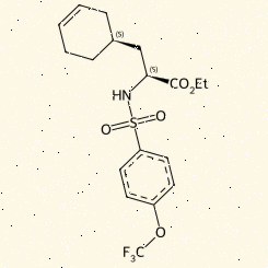 CCOC(=O)[C@H](C[C@@H]1CC=CCC1)NS(=O)(=O)c1ccc(OC(F)(F)F)cc1